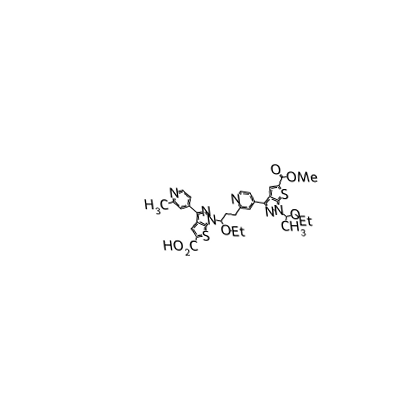 CCOC(C)n1nc(-c2ccnc(CCC(OCC)n3nc(-c4ccnc(C)c4)c4cc(C(=O)O)sc43)c2)c2cc(C(=O)OC)sc21